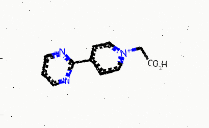 O=C(O)C[n+]1ccc(-c2ncccn2)cc1